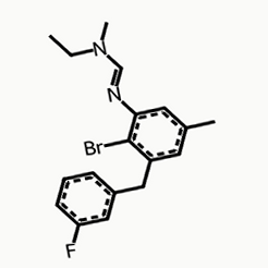 CCN(C)C=Nc1cc(C)cc(Cc2cccc(F)c2)c1Br